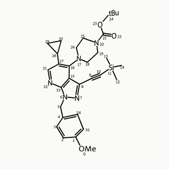 COc1ccc(Cn2nc(C#C[Si](C)(C)C)c3c(N4CCN(C(=O)OC(C)(C)C)CC4)c(C4CC4)cnc32)cc1